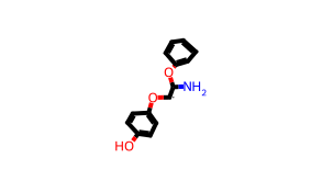 NC([CH]Oc1ccc(O)cc1)Oc1ccccc1